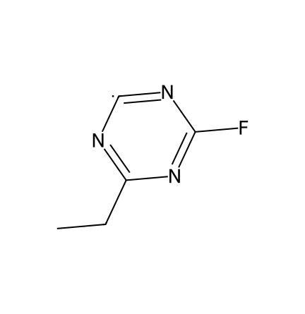 CCc1n[c]nc(F)n1